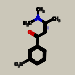 C/C(=C/C(=O)c1cccc([N+](=O)[O-])c1)N(C)C